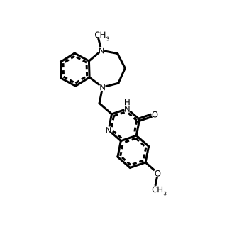 COc1ccc2nc(CN3CCCN(C)c4ccccc43)[nH]c(=O)c2c1